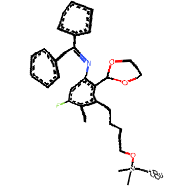 Cc1c(F)cc(N=C(c2ccccc2)c2ccccc2)c(C2OCCO2)c1CCCCO[Si](C)(C)C(C)(C)C